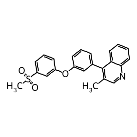 Cc1cnc2ccccc2c1-c1cccc(Oc2cccc(S(C)(=O)=O)c2)c1